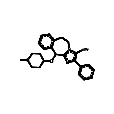 CCCc1c(-c2ccccc2)nc2n1CCc1ccccc1C2OC1CCN(C)CC1